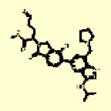 CNC(=O)C(CCC=O)N1Cc2c(ccc(-c3cc(CN4CCCC4)c4[nH]nc(NC(C)C)c4n3)c2Cl)C1=O